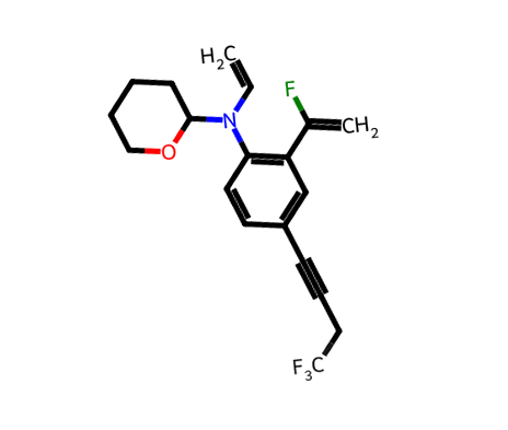 C=CN(c1ccc(C#CCC(F)(F)F)cc1C(=C)F)C1CCCCO1